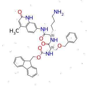 Cc1cc(=O)[nH]c2cc(NC(=O)[C@H](CCCCN)NC(=O)[C@H](COCc3ccccc3)NC(=O)OCC3c4ccccc4-c4ccccc43)ccc12